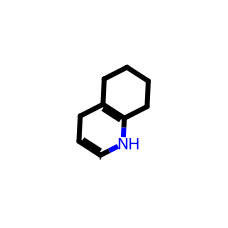 [C]1=CCC2=C(CCCC2)N1